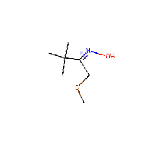 CSC/C(=N\O)C(C)(C)C